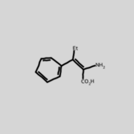 CC/C(=C(\N)C(=O)O)c1ccccc1